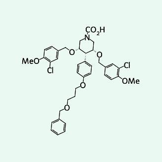 COc1ccc(CO[C@H]2CN(C(=O)O)C[C@@H](OCc3ccc(OC)c(Cl)c3)[C@H]2c2ccc(OCCCOCc3ccccc3)cc2)cc1Cl